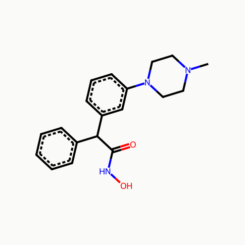 CN1CCN(c2cccc(C(C(=O)NO)c3ccccc3)c2)CC1